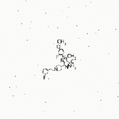 CCOc1ccc(-n2nc3c(C4CCN(CCc5cccc(F)c5)CC4)nnc(C)c3c2C)c(F)c1